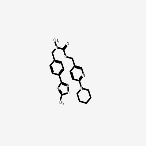 CN(Cc1ccc(-c2noc(C(F)(F)F)n2)cc1)C(=O)OCc1ccc(N2CCCCC2)nc1